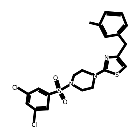 Cc1cccc(Cc2csc(N3CCN(S(=O)(=O)c4cc(Cl)cc(Cl)c4)CC3)n2)c1